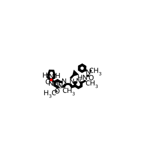 COc1cc(C(=O)N2[C@@H]3CC[C@H]2C[C@@H](N)C3)cc2nc(-c3cc4ccc([C@@H](C)NC(=O)N(C)c5ccccc5)nc4n3CC3CC3)c(C)n12